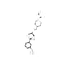 CC(C)(C)OC(=O)N1CCC(COc2cnc(-c3cccc(CN)c3)nc2)CC1